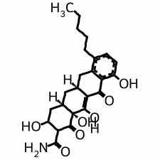 CCCCCc1ccc(O)c2c1C[C@H]1C[C@H]3CC(O)C(C(N)=O)C(=O)[C@@]3(O)C(O)=C1C2=O